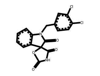 O=C1NC(=O)C2(O1)C(=O)N(Cc1ccc(Cl)c(Cl)c1)c1ccccc12